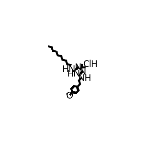 CCCCCCCCCCNC1=NC(C)(C)N=C(NCCc2ccc(OC)cc2)N1.Cl